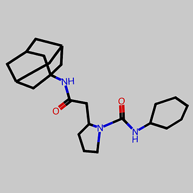 O=C(CC1CCCN1C(=O)NC1CCCCC1)NC12CC3CC(CC(C3)C1)C2